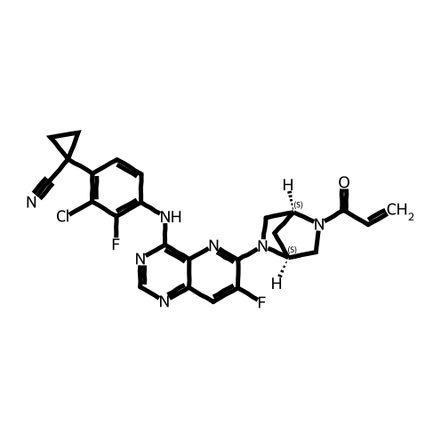 C=CC(=O)N1C[C@@H]2C[C@H]1CN2c1nc2c(Nc3ccc(C4(C#N)CC4)c(Cl)c3F)ncnc2cc1F